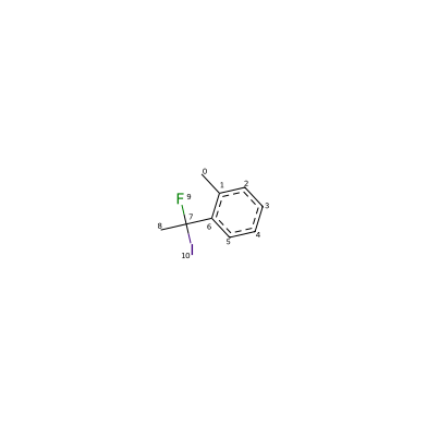 Cc1ccccc1C(C)(F)I